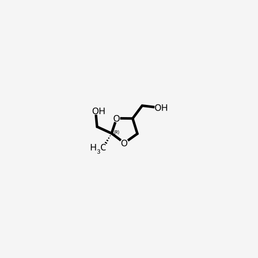 C[C@@]1(CO)OCC(CO)O1